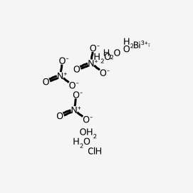 Cl.O.O.O.O.O.O=[N+]([O-])[O-].O=[N+]([O-])[O-].O=[N+]([O-])[O-].[Bi+3]